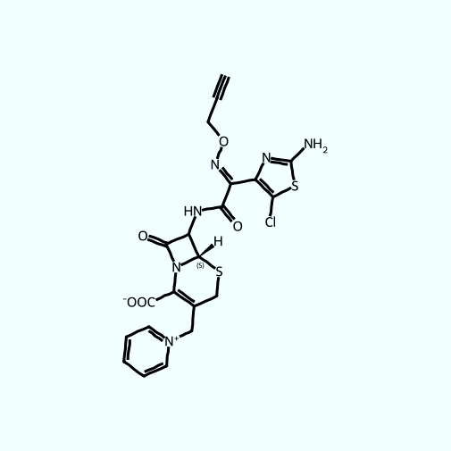 C#CCON=C(C(=O)NC1C(=O)N2C(C(=O)[O-])=C(C[n+]3ccccc3)CS[C@@H]12)c1nc(N)sc1Cl